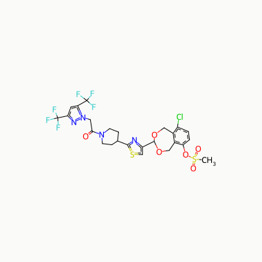 CS(=O)(=O)Oc1ccc(Cl)c2c1COC(c1csc(C3CCN(C(=O)Cn4nc(C(F)(F)F)cc4C(F)(F)F)CC3)n1)OC2